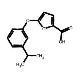 CC(C)c1cccc(Oc2ccc(C(=O)O)o2)c1